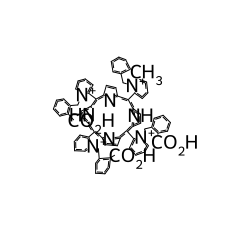 Cc1ccccc1C[n+]1ccccc1-c1c2nc(c(-c3cccc[n+]3Cc3ccccc3C(=O)O)c3ccc([nH]3)c(-c3cccc[n+]3Cc3ccccc3C(=O)O)c3nc(c(-c4cccc[n+]4Cc4ccccc4C(=O)O)c4ccc1[nH]4)C=C3)C=C2